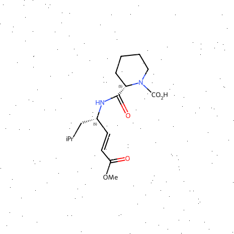 COC(=O)C=C[C@H](CC(C)C)NC(=O)[C@@H]1CCCCN1C(=O)O